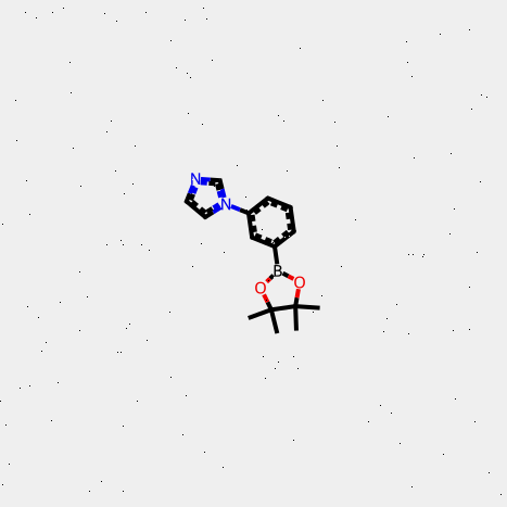 CC1(C)OB(c2cccc(-n3ccnc3)c2)OC1(C)C